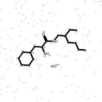 CCCCC(CC)CNC(=O)C(N)CC1CCCCC1.Cl